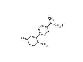 CC1CCC(=O)C=C1c1ccc(C(C)C(=O)O)cc1